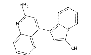 N#Cc1cc(-c2cc(N)nc3cccnc23)c2ccccn12